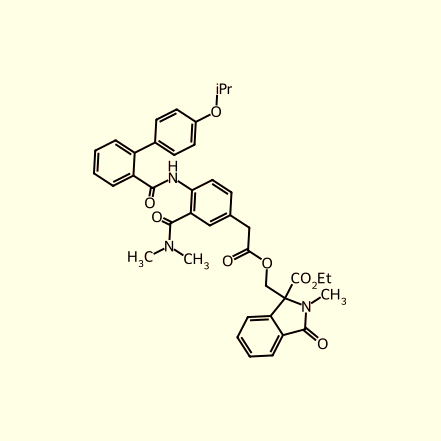 CCOC(=O)C1(COC(=O)Cc2ccc(NC(=O)c3ccccc3-c3ccc(OC(C)C)cc3)c(C(=O)N(C)C)c2)c2ccccc2C(=O)N1C